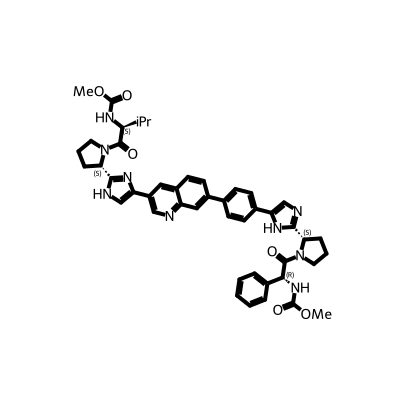 COC(=O)N[C@H](C(=O)N1CCC[C@H]1c1nc(-c2cnc3cc(-c4ccc(-c5cnc([C@@H]6CCCN6C(=O)[C@H](NC(=O)OC)c6ccccc6)[nH]5)cc4)ccc3c2)c[nH]1)C(C)C